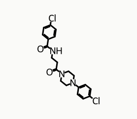 O=C(NCCC(=O)N1CCN(c2ccc(Cl)cc2)CC1)c1ccc(Cl)cc1